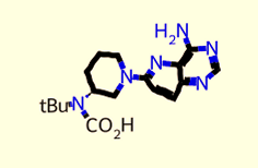 CC(C)(C)N(C(=O)O)[C@@H]1CCCN(c2ccc3ncnc(N)c3n2)C1